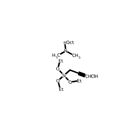 C#CC[Si](OCC)(OCC)OCC.CCCCCCCCN(C)C.Cl